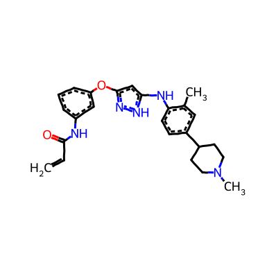 C=CC(=O)Nc1cccc(Oc2cc(Nc3ccc(C4CCN(C)CC4)cc3C)[nH]n2)c1